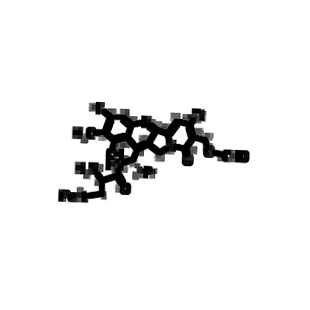 CCCC(C)CC(N)C(=O)N[C@@H](CCC)c1c2c(nc3cc(F)c(C)c(C)c13)-c1cc(CC)c(COC=O)c(=O)n1C2